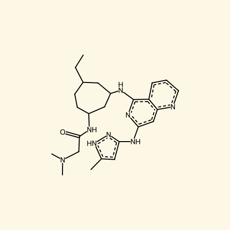 CCC1CCC(NC(=O)CN(C)C)CC(Nc2nc(Nc3cc(C)[nH]n3)cc3ncccc23)C1